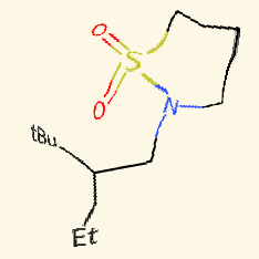 CCC(CN1CCCS1(=O)=O)C(C)(C)C